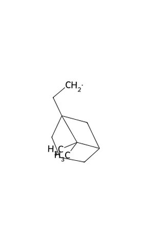 [CH2]CC12CCCC(C1)C2(C)C